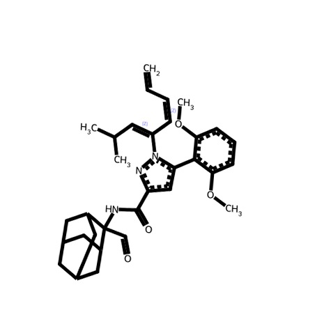 C=C/C=C\C(=C\C(C)C)n1nc(C(=O)NC2(C=O)C3CC4CC(C3)CC2C4)cc1-c1c(OC)cccc1OC